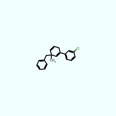 CC1(Cc2ccccc2)C=CCC(c2cccc(Cl)c2)=C1